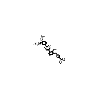 CCc1c(CN2CC(C(=O)OC)C2)cccc1-c1cnc(-c2ccc(OC(C)C)c(N)c2)nc1